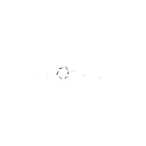 Cc1cc(OCCOC(C)C)ccc1O